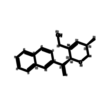 C=C(c1ccc2ccccc2c1)[C@@H]1OC[C@H](C)C=C1CO